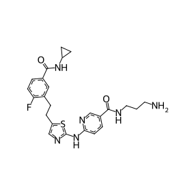 NCCCNC(=O)c1ccc(Nc2ncc(CCc3cc(C(=O)NC4CC4)ccc3F)s2)nc1